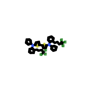 Cl[Si](Cl)(Cl)CCCc1ccccc1N(c1ccccc1)c1ccc(-c2ccc(N(c3ccccc3)c3ccccc3CCC[Si](Cl)(Cl)Cl)s2)s1